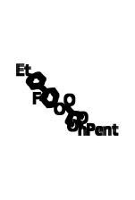 CCCCCC1OCC(C(=O)Oc2ccc(-c3ccc(CC)cc3)c(F)c2)CO1